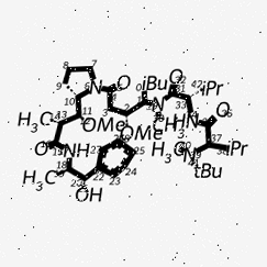 CCC(C)C([C@@H](CC(=O)N1CCC[C@H]1[C@H](OC)[C@@H](C)C(=O)N[C@H](C)[C@@H](O)c1ccccc1)OC)N(C)C(=O)[C@@H](NC(=O)C(C(C)C)N(C)C(C)(C)C)C(C)C